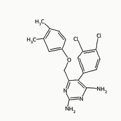 Cc1ccc(OCc2nc(N)nc(N)c2-c2ccc(Cl)c(Cl)c2)cc1C